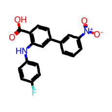 O=C(O)c1ccc(-c2cccc([N+](=O)[O-])c2)cc1Nc1ccc(F)cc1